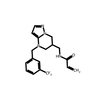 C=CC(=O)NCC1CN(Cc2cccc(C(F)(F)F)c2)c2ccnn2C1